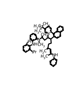 C=C(/C=C(\C)Nc1ccccc1)CCC1c2ccc3ccccc3c2-c2ccc([Si](C)(C)C)c[n+]2C1CC(=C)N(C)c1ccccc1Nc1c(C(C)C)cccc1C(C)C